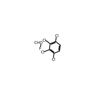 Clc1ccc(Cl)c(Cl)c1Cl.O=CF